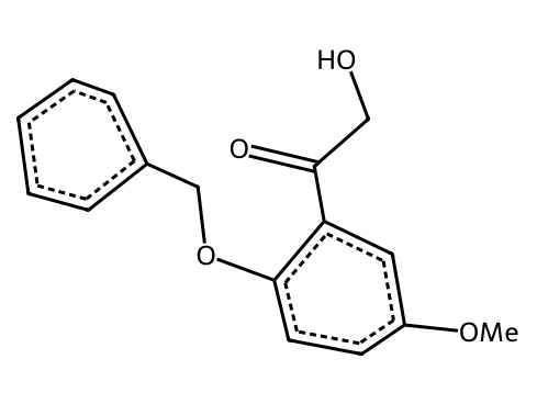 COc1ccc(OCc2ccccc2)c(C(=O)CO)c1